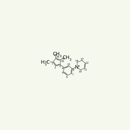 CC1=C=C(c2cccc(N3CC=CCC3)c2)C(C)=C1C